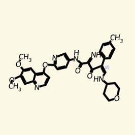 COc1cc2nccc(Oc3ccc(NC(=O)C(=N)C(=O)/C(=C\NC4CCOCC4)c4ccc(C)cc4)cn3)c2cc1OC